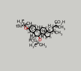 CC[C@H]1C(O[Si](C)(C)C)[C@@H]2[C@H](CC[C@]3(C)[C@@H]([C@H](C)C[C@@H](C)C(=O)O)CC[C@@H]23)[C@@]2(C)CCC(O[Si](C)(C)C(C)(C)C)C[C@@H]12